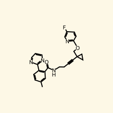 Cc1ccc(-c2ncccn2)c(C(=O)NCCC#CC2(COc3ccc(F)cn3)CC2)c1